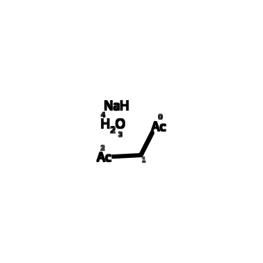 CC(=O)CC(C)=O.O.[NaH]